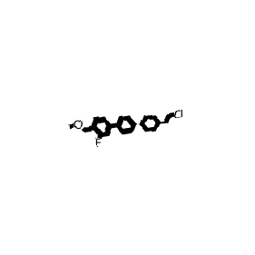 COCc1ccc(-c2ccc([C@H]3CC[C@H](/C=C/Cl)CC3)cc2)cc1F